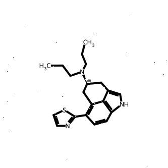 CCCN(CCC)[C@H]1Cc2c[nH]c3ccc(-c4nccs4)c(c23)C1